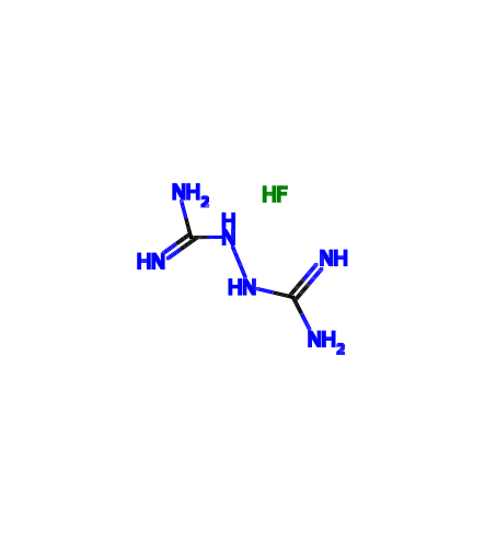 F.N=C(N)NNC(=N)N